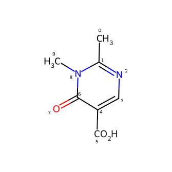 Cc1ncc(C(=O)O)c(=O)n1C